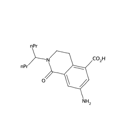 CCCC(CCC)N1CCc2c(C(=O)O)cc(N)cc2C1=O